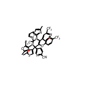 Cc1csc(N2C(c3ccnc(C(F)(F)F)c3)=C(Oc3ccc(C(F)(F)F)nc3)C(c3ccc(C#N)nc3)(c3csc(C)n3)N(c3nc(C)oc3F)C2(n2cccn2)C(F)(F)F)n1